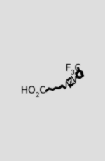 O=C(O)CCCCCCCN1CCN(c2cccc(C(F)(F)F)c2)CC1